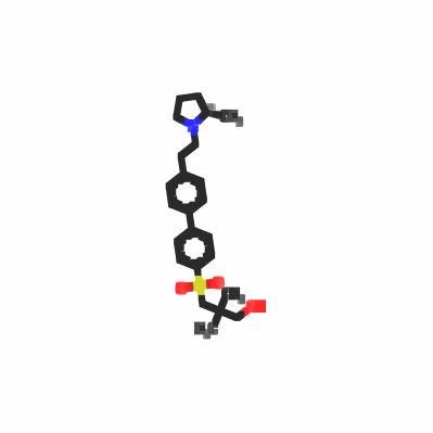 C[C@@H]1CCCN1CCc1ccc(-c2ccc(S(=O)(=O)CC(C)(C)CO)cc2)cc1